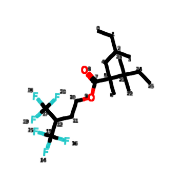 CCC(C)CC(C)(C(=O)OCCC(C(F)(F)F)C(F)(F)F)C(C)(C)CC